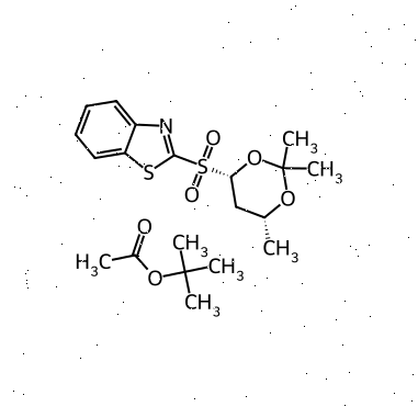 CC(=O)OC(C)(C)C.C[C@@H]1C[C@H](S(=O)(=O)c2nc3ccccc3s2)OC(C)(C)O1